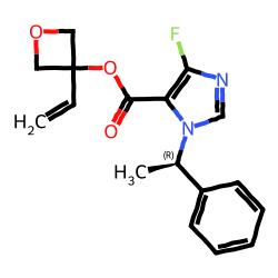 C=CC1(OC(=O)c2c(F)ncn2[C@H](C)c2ccccc2)COC1